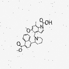 COC(=O)c1ccc(C2CCCCN2Cc2c(OC)cc(C)c3c2ccn3C(=O)O)c2ccccc12